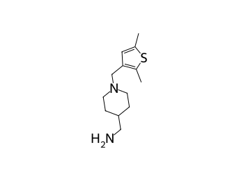 Cc1cc(CN2CCC(CN)CC2)c(C)s1